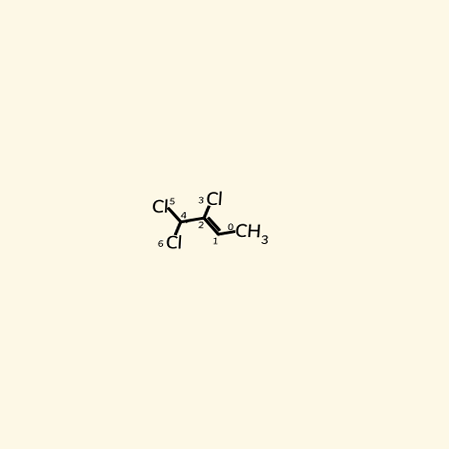 C/C=C(\Cl)[C](Cl)Cl